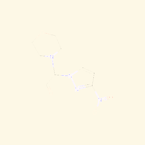 O=CC(N1CCOCC1)n1ccc([N+](=O)[O-])n1